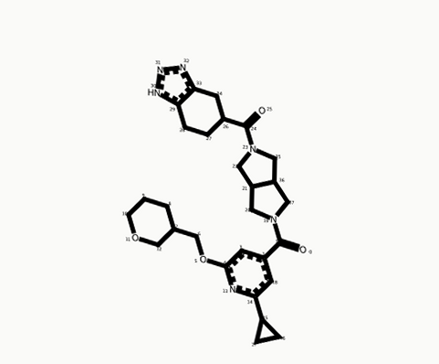 O=C(c1cc(OCC2CCCOC2)nc(C2CC2)c1)N1CC2CN(C(=O)C3CCc4[nH]nnc4C3)CC2C1